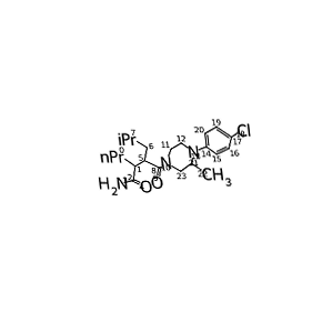 CCCC(C(N)=O)C(CC(C)C)C(=O)N1CCN(c2ccc(Cl)cc2)C(C)C1